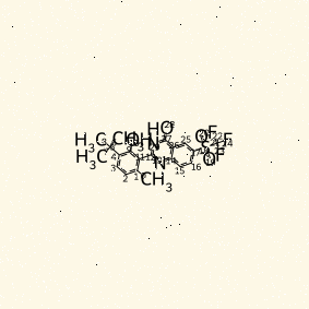 Cc1ccc(C(C)(C)C)c(O)c1-c1nc2ccc(S(=O)(=O)C(F)(F)F)cc2c(=O)[nH]1